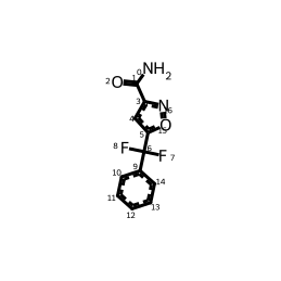 NC(=O)c1cc(C(F)(F)c2ccccc2)on1